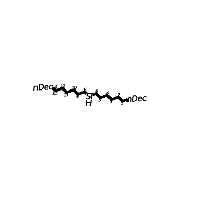 CCCCCCCCCCCCCCCC[SiH]CCCCCCCCCCCCCCCC